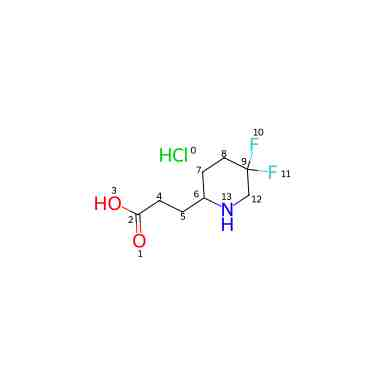 Cl.O=C(O)CCC1CCC(F)(F)CN1